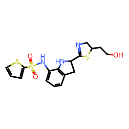 O=S(=O)(Nc1cccc2c1NC(C1=NCC(CCO)S1)C2)c1cccs1